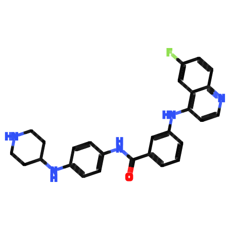 O=C(Nc1ccc(NC2CCNCC2)cc1)c1cccc(Nc2ccnc3ccc(F)cc23)c1